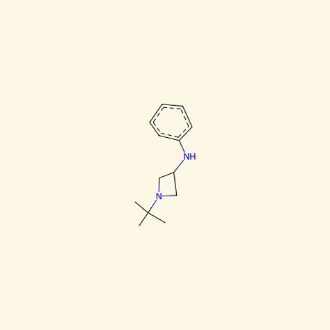 CC(C)(C)N1CC(Nc2ccccc2)C1